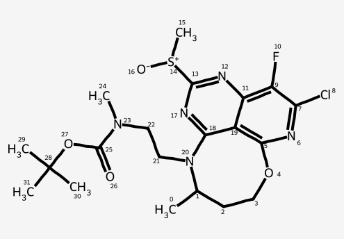 CC1CCOc2nc(Cl)c(F)c3nc([S+](C)[O-])nc(c23)N1CCN(C)C(=O)OC(C)(C)C